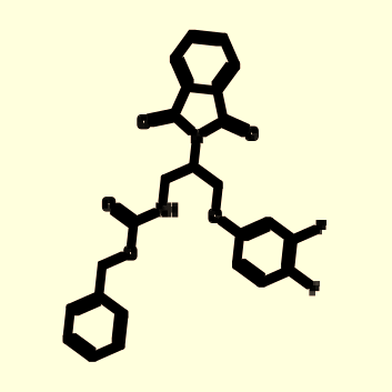 O=C(NCC(COc1ccc(F)c(F)c1)N1C(=O)c2ccccc2C1=O)OCc1ccccc1